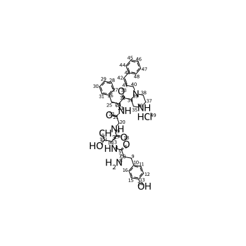 C[C@H](O)[C@@H](NC(=O)[C@@H](N)Cc1ccc(O)cc1)C(=O)NCC(=O)N[C@@H](Cc1ccccc1)C(=O)C1CNCCN1CC=Cc1ccccc1.Cl